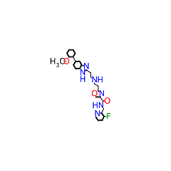 COc1ccccc1-c1ccc2[nH]c(CCNCCc3nc(C(=O)NCc4ncccc4F)co3)nc2c1